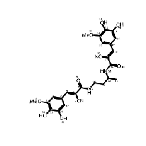 COc1cc(/C=C(\C#N)C(=O)NCCC(C)NC(=O)/C(C#N)=C/c2cc(O)c(O)c(OC)c2)cc(O)c1O